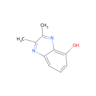 Cc1nc2cccc(O)c2nc1C